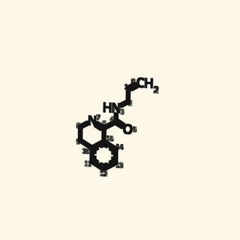 C=CCNC(=O)C1=NCCc2ccccc21